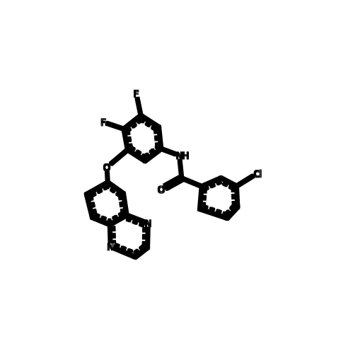 O=C(Nc1cc(F)c(F)c(Oc2ccc3nccnc3c2)c1)c1cccc(Cl)c1